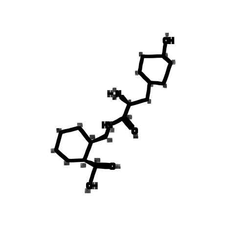 N[C@@H](CC1CCC(O)CC1)C(=O)NC[C@@H]1CCCC[C@@H]1C(=O)O